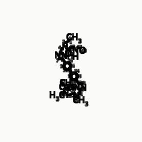 CCCN(Cc1ncc(-c2ccc(-c3ccc(-c4cnc(CN(C)CCN(C)C(=O)OC)[nH]4)cc3)cc2)[nH]1)C(=O)CNC=O